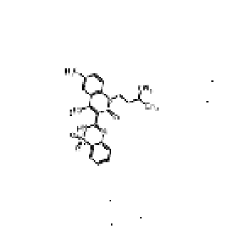 Cc1ccc2c(c1)c(O)c(C1=Nc3ccccc3S(=O)(=O)N1)c(=O)n2CCC(C)C